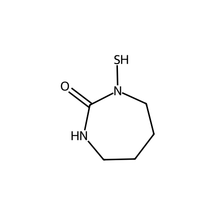 O=C1NCCCCN1S